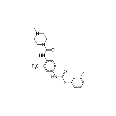 Cc1cccc(NC(=O)Nc2ccc(NC(=O)N3CCN(C)CC3)c(C(F)(F)F)c2)c1